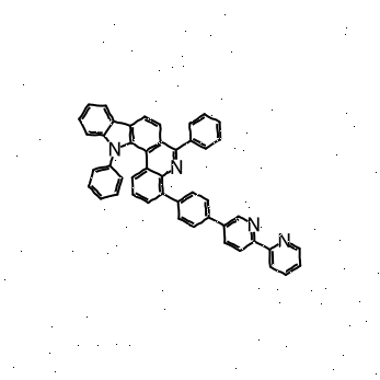 c1ccc(-c2nc3c(-c4ccc(-c5ccc(-c6ccccn6)nc5)cc4)cccc3c3c2ccc2c4ccccc4n(-c4ccccc4)c23)cc1